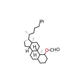 CC(C)CCC[C@@H](C)[C@H]1CC[C@H]2[C@@H]3CCC4CCCC(OC=O)[C@]4(C)[C@H]3CC[C@]12C